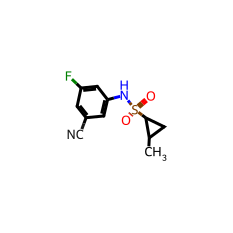 CC1CC1S(=O)(=O)Nc1cc(F)cc(C#N)c1